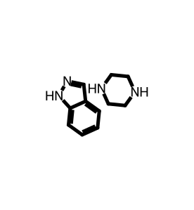 C1CNCCN1.c1ccc2[nH]ncc2c1